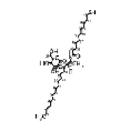 CCCCCCCCCCCCCC[C@@H](O)[C@](O)(O[C@H]1C[C@H](O)[C@@H](O)C(CO)O1)[C@H](C)NC(=O)CCCCCCCCCCCS